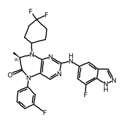 C[C@@H]1C(=O)N(c2cccc(F)c2)c2cnc(Nc3cc(F)c4[nH]ncc4c3)nc2N1C1CCC(F)(F)CC1